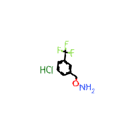 Cl.NOCc1cccc(C(F)(F)F)c1